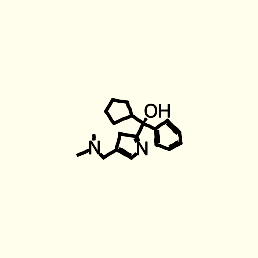 CN(C)CC1=CN=C([C@@](O)(c2ccccc2)C2CCCC2)C1